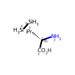 CC(C)[C@H](N)C(=O)O.[SiH3][SiH3]